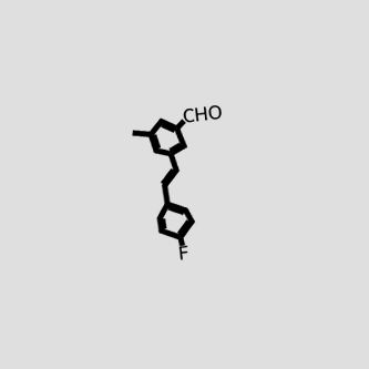 Cc1cc(C=O)cc(/C=C/c2ccc(F)cc2)c1